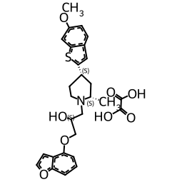 COc1ccc2cc([C@H]3CCN(C[C@H](O)COc4cccc5occc45)[C@@H](C)C3)sc2c1.O=C(O)C(=O)O